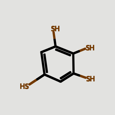 Sc1cc(S)c(S)c(S)c1